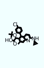 Cc1cc2nc(NC3CC3)ccc2c(-c2ccc(Cl)cc2)c1[C@H](OC(C)(C)C)C(=O)O